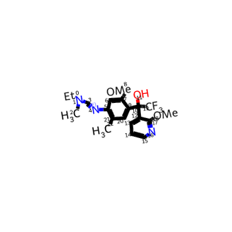 CCN(C)/C=N/c1cc(OC)c(C(O)(c2cccnc2OC)C(F)(F)F)cc1C